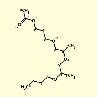 CCCCOC(C)COC(C)COCCCOC(C)=O